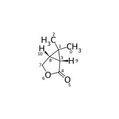 CC1(C)[C@@H]2C(=O)OC[C@@H]21